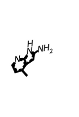 Cc1ccnc2[nH]c(N)cc12